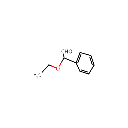 O=[C]C(OCC(F)(F)F)c1ccccc1